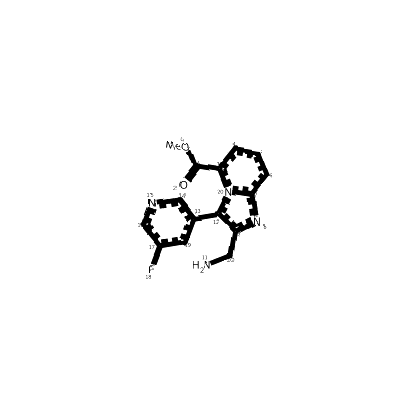 COC(=O)c1cccc2nc(CN)c(-c3cncc(F)c3)n12